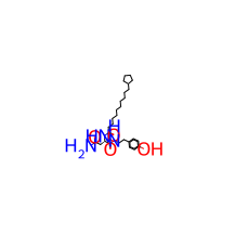 NC(=O)C[C@@H](NC(=O)CCCCCCCCCCC1CCCC1)C(=O)NCCc1ccc(O)cc1